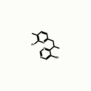 Cc1ccc(CC(C)c2ncncc2C(C)C)nc1C(C)C